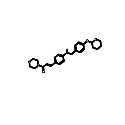 O=C(C=Cc1ccc(NCc2ccc(OC3CCCCO3)cc2)cc1)N1CCOCC1